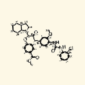 COC(=O)c1ccc(OC(C(=O)Cc2ccc(NC(=O)Nc3ccccc3Cl)c(OC)c2)N2CCC3CCCCC32)cc1